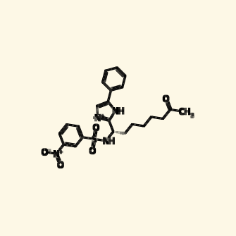 CC(=O)CCCCC[C@H](NS(=O)(=O)c1cccc([N+](=O)[O-])c1)C1=[N+]C=C(c2ccccc2)N1